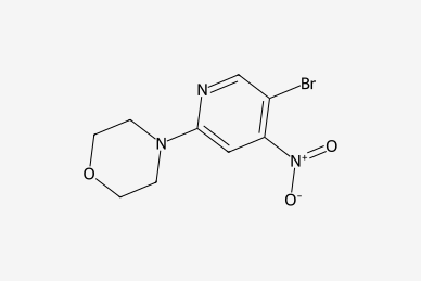 O=[N+]([O-])c1cc(N2CCOCC2)ncc1Br